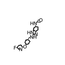 Fc1ccc(Oc2ccc(CNc3nc4ccc(NC5COC5)cc4[nH]3)cc2)nc1